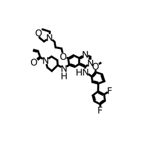 C=CC(=O)N1CCC(Nc2cc3c(Nc4cc(-c5ccc(F)cc5F)ccc4OC)ncnc3cc2OCCCN2CCOCC2)CC1